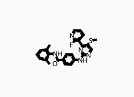 CSc1cnc(Nc2ccc(C(=O)Nc3c(C)cccc3C)cc2)nc1-c1cccnc1F